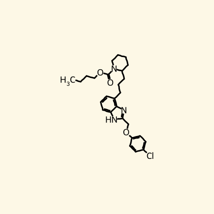 CCCCOC(=O)N1CCCCC1CCCc1cccc2[nH]c(COc3ccc(Cl)cc3)nc12